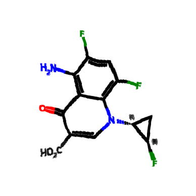 Nc1c(F)cc(F)c2c1c(=O)c(C(=O)O)cn2[C@@H]1C[C@H]1F